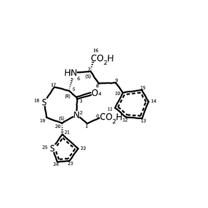 O=C(O)CN1C(=O)[C@@H](N[C@@H](CCc2ccccc2)C(=O)O)CSC[C@H]1c1cccs1